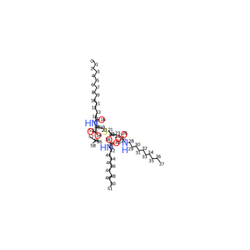 CCCCCCCCCCCCCCCC(=O)N[C@@H](CSC[C@@H](COC(=O)NCCCCCCCCCC)OC(=O)NCCCCCCCCCC)C(=O)OC(C)(C)C